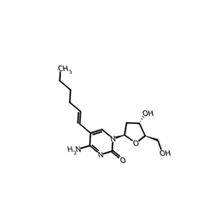 CCCC/C=C/c1cn([C@H]2C[C@H](O)[C@@H](CO)O2)c(=O)nc1N